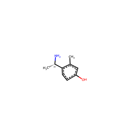 Cc1cc(O)ccc1[C@H](C)N